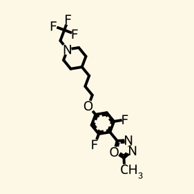 Cc1nnc(-c2c(F)cc(OCCCC3CCN(CC(F)(F)F)CC3)cc2F)o1